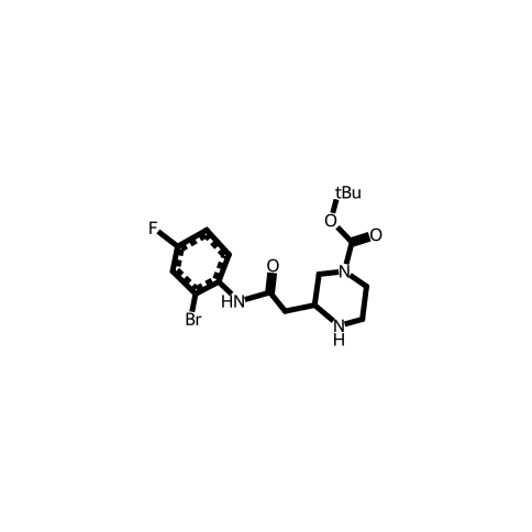 CC(C)(C)OC(=O)N1CCNC(CC(=O)Nc2ccc(F)cc2Br)C1